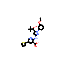 CCOc1cccc(-n2nc(Nc3ncc(-c4cccs4)cc3C(=O)O)cc2C(O)C(C)(C)C)c1